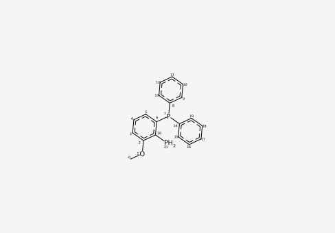 COc1cccc(P(c2ccccc2)c2ccccc2)c1P